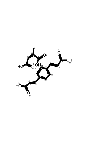 CC(=CC(=O)O)C(=O)O.O=C(O)C=Cc1ccc(C=CC(=O)O)cc1